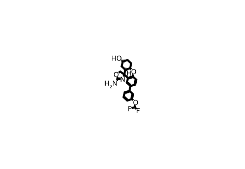 NC1=NC2(CO1)c1cc(-c3cccc(OC(F)F)c3)ccc1OC1CC[C@H](O)C[C@@H]12